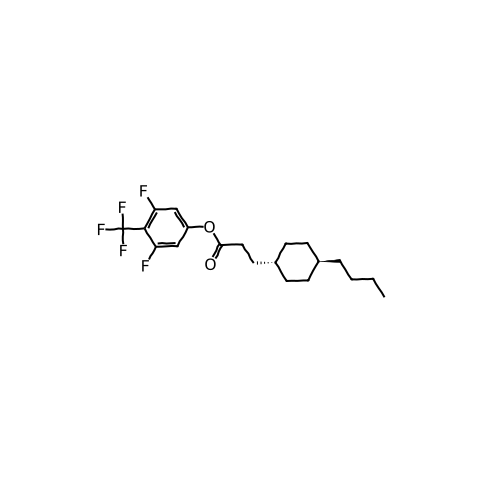 CCCC[C@H]1CC[C@H](CCC(=O)Oc2cc(F)c(C(F)(F)F)c(F)c2)CC1